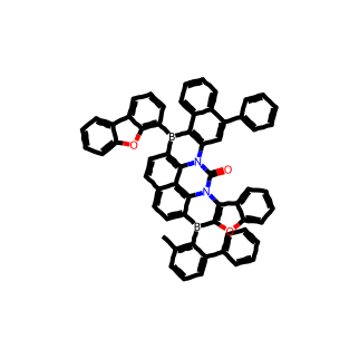 Cc1cccc(-c2ccccc2)c1B1c2ccc3ccc4c5c3c2N(C(=O)N5c2cc(-c3ccccc3)c3ccccc3c2B4c2cccc3c2oc2ccccc23)c2c1oc1ccccc21